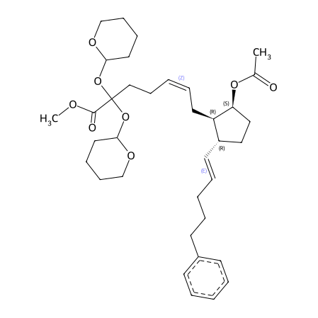 COC(=O)C(CC/C=C\C[C@H]1[C@@H](OC(C)=O)CC[C@@H]1/C=C/CCCc1ccccc1)(OC1CCCCO1)OC1CCCCO1